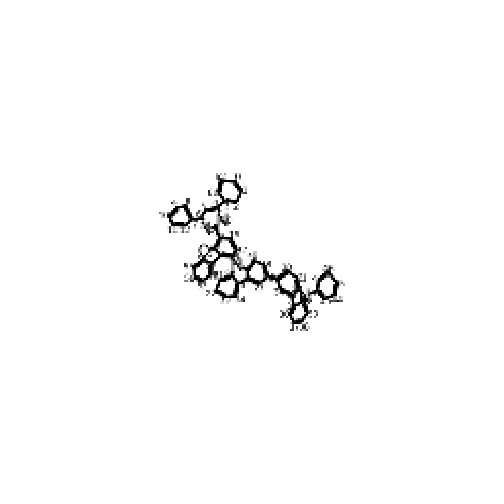 c1ccc(-c2cc(-c3ccccc3)nc(-c3ccc(-n4c5ccccc5c5cc(-c6ccc7c(c6)c6ccccc6n7-c6ccccc6)ccc54)c4c3oc3ccccc34)n2)cc1